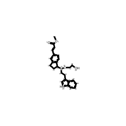 COC(=O)C=Cc1ccc2c(c1)CCC2N(CCCO)CCc1c[nH]c2ccccc12